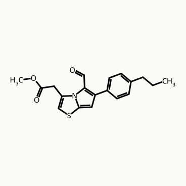 CCCc1ccc(-c2cc3scc(CC(=O)OC)n3c2C=O)cc1